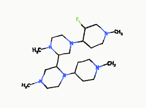 CN1CCC(N2CCN(C)CC2C2CN(C3CCN(C)CC3F)CCN2C)CC1